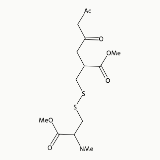 CNC(CSSCC(CC(=O)CC(C)=O)C(=O)OC)C(=O)OC